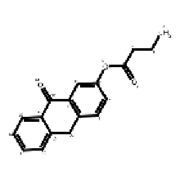 CCCC(=O)Oc1ccc2c(c1)C(=O)c1ccccc1C2